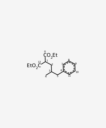 CCOC(=O)C(CC(C)Cc1ccccc1)C(=O)OCC